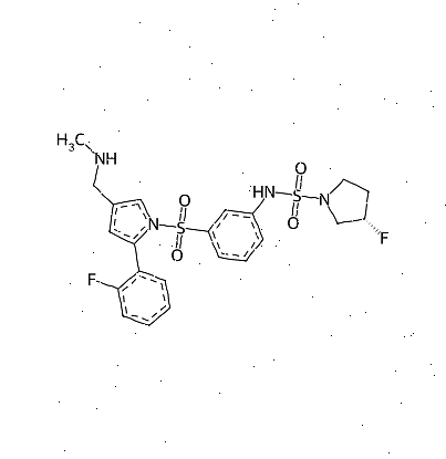 CNCc1cc(-c2ccccc2F)n(S(=O)(=O)c2cccc(NS(=O)(=O)N3CC[C@H](F)C3)c2)c1